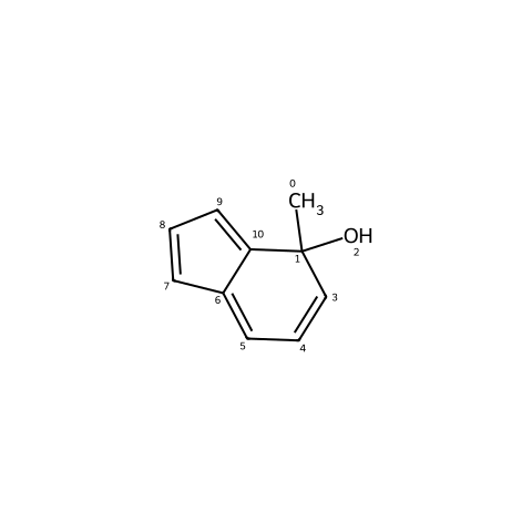 CC1(O)C=CC=C2C=CC=C21